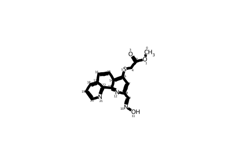 COC(=O)CSc1cc(C=NO)nc2c1ccc1cccnc12